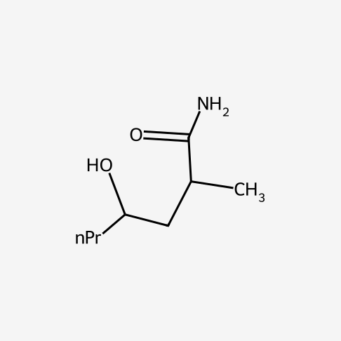 CCCC(O)CC(C)C(N)=O